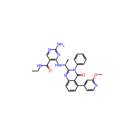 CCNC(=O)c1cnc(N)nc1N[C@@H](C)c1nc2cccc(-c3ccnc(OC)c3)c2c(=O)n1-c1ccccc1